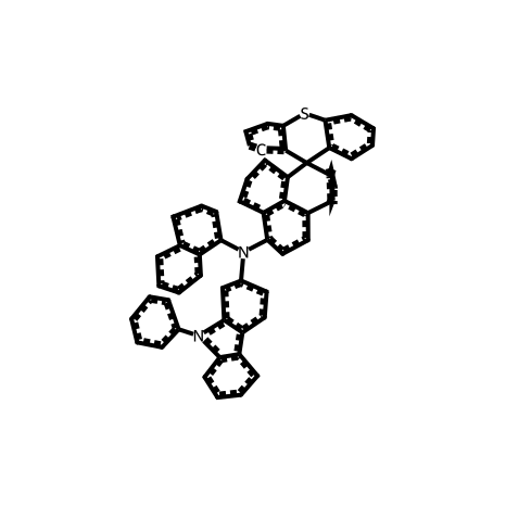 c1ccc(-n2c3ccccc3c3ccc(N(c4cccc5ccccc45)c4ccc5c6c(cccc46)C4(c6ccccc6Sc6ccccc64)c4ccccc4-5)cc32)cc1